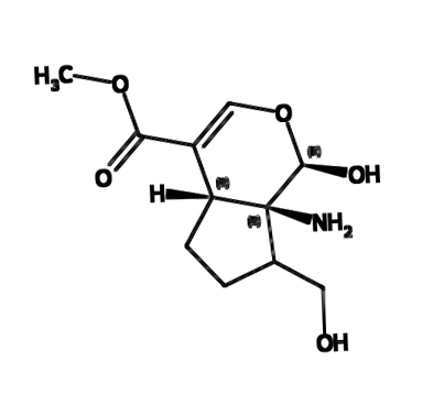 COC(=O)C1=CO[C@@H](O)[C@]2(N)C(CO)CC[C@H]12